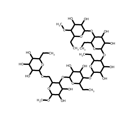 CCC1OC(OCC2OC(OC)C(O)C(O)C2OC2OC(CC)C(OC3OC(CC)C(OC4OC(CC)C(OC5OC(CC)C(OC)C(O)C5O)C(O)C4O)C(O)C3O)C(O)C2O)C(O)C(O)C1O